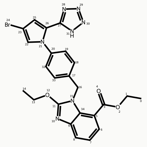 CCOC(=O)c1cccc2nc(OCC)n(Cc3ccc(-n4cc(Br)cc4-c4nnn[nH]4)cc3)c12